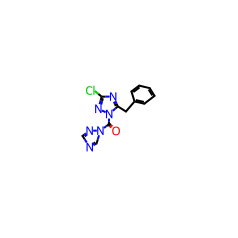 O=C(n1cncn1)n1nc(Cl)nc1Cc1ccccc1